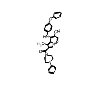 Cc1c(C(=O)N2CCN(c3ccccc3)CC2)cn2ncc(C#N)c(Nc3ccc(Oc4ccccc4)cc3)c12